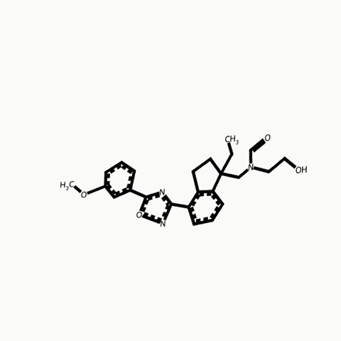 CCC1(CN(C=O)CCO)CCc2c(-c3noc(-c4cccc(OC)c4)n3)cccc21